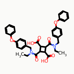 CCN(Cc1ccc(Oc2ccccc2)cc1)C(=O)C1C(C(=O)O)C(C(=O)N(CC)Cc2ccc(Oc3ccccc3)cc2)C1C(=O)O